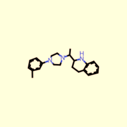 Cc1cccc(N2CCN(C(C)C3CCc4ccccc4N3)CC2)c1